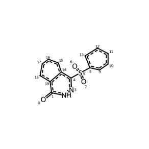 O=c1[nH]nc(S(=O)(=O)c2ccccc2)c2ccccc12